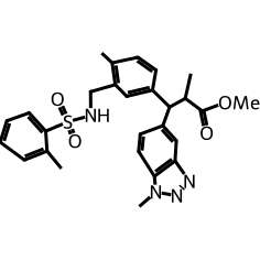 COC(=O)C(C)C(c1ccc(C)c(CNS(=O)(=O)c2ccccc2C)c1)c1ccc2c(c1)nnn2C